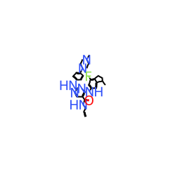 C=CCNC(=O)c1cnc(Nc2ccc(N3CCN(C)CC3)cc2)nc1Nc1cc(F)c2c(c1)C(C)CC2